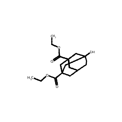 CCOC(=O)C12CC3CC(O)(C1)CC(C(=O)OCC)(C3)C2